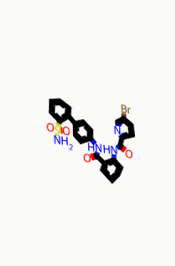 NS(=O)(=O)c1ccccc1-c1ccc(NC(=O)c2ccccc2NC(=O)c2ccc(Br)cn2)cc1